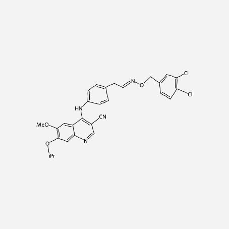 COc1cc2c(Nc3ccc(CC=NOCc4ccc(Cl)c(Cl)c4)cc3)c(C#N)cnc2cc1OC(C)C